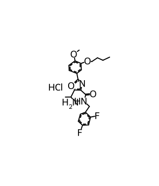 CCCCOc1cc(-c2nc(C(=O)NCc3ccc(F)cc3F)c(C(C)N)o2)ccc1OC.Cl